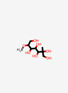 BOC(CO)C(O)C(O)C(O)C(C)(O)CO